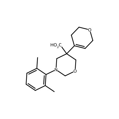 Cc1cccc(C)c1N1COCC(C(=O)O)(C2=CCOCC2)C1